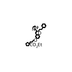 CCOC(=O)C1(CCCOc2ccc3c(c2)C=C(c2nccn2C)C(CCc2ccccc2)O3)CCCC1